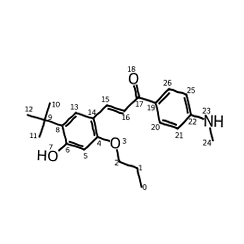 CCCOc1cc(O)c(C(C)(C)C)cc1C=CC(=O)c1ccc(NC)cc1